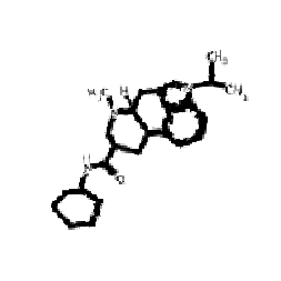 CC(C)n1cc2c3c(cccc31)C1CC(C(=O)NC3CCCCC3)CN(C)[C@@H]1C2